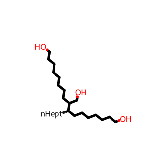 CCCCCCCC(CCCCCCCO)C(CO)CCCCCCCCO